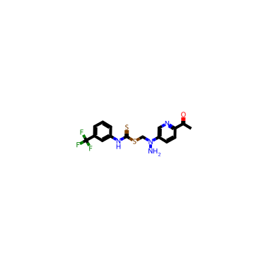 CC(=O)c1ccc(N(N)CSC(=S)Nc2cccc(C(F)(F)F)c2)cn1